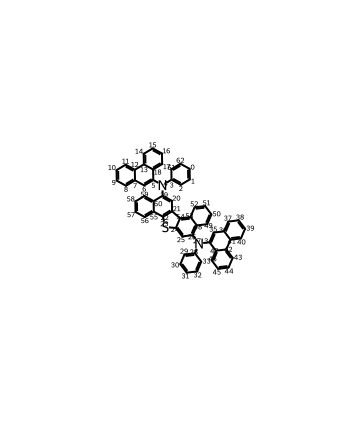 c1ccc(N(c2cc3ccccc3c3ccccc23)c2cc3c(sc4cc(N(c5ccccc5)c5cc6ccccc6c6ccccc56)c5ccccc5c43)c3ccccc23)cc1